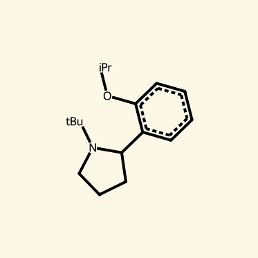 CC(C)Oc1ccccc1C1CCCN1C(C)(C)C